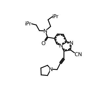 CC(C)CCN(CCC(C)C)C(=O)c1ccc2nc(C#N)c(C#CCN3CCCC3)n2c1